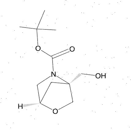 CC(C)(C)OC(=O)N1C[C@H]2C[C@]1(CO)CO2